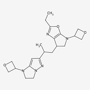 CCc1nc2c(o1)N(C1COC1)CC2CC(C)c1cc2n(n1)CCN2C1COC1